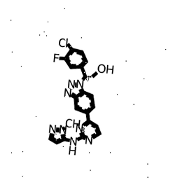 Cn1nccc1Nc1nccc(-c2ccc3c(c2)nnn3[C@@H](CO)c2ccc(Cl)c(F)c2)n1